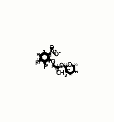 C[C@H](COc1c([N+](=O)[O-])ccc(F)c1F)OC1CCCCO1